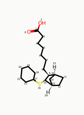 O=C(O)CCCCCC[C@H]1[C@H]2CC[C@H](C2)[C@H]1SC1CCCCC1